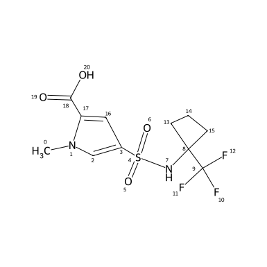 Cn1cc(S(=O)(=O)NC2(C(F)(F)F)CCC2)cc1C(=O)O